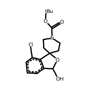 CC(C)(C)OC(=O)N1CCC2(CC1)OC(O)c1cccc(Cl)c12